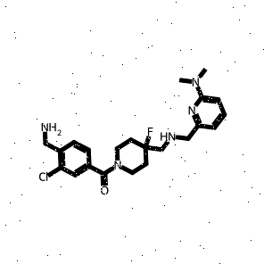 CN(C)c1cccc(CNCC2(F)CCN(C(=O)c3ccc(CN)c(Cl)c3)CC2)n1